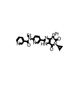 CCCn1c(=O)n(C2CC2)c(=O)c2[nH]c(-c3ccc(N(CC)C(=O)c4cccnc4)nc3)nc21